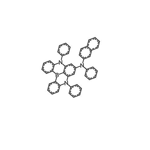 c1ccc(N(c2cc3c4c(c2)N(c2ccccc2)c2ccccc2B4c2ccccc2N3c2ccccc2)c2ccc3ccccc3c2)cc1